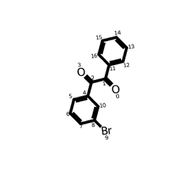 O=C(C(=O)c1cccc(Br)c1)c1ccccc1